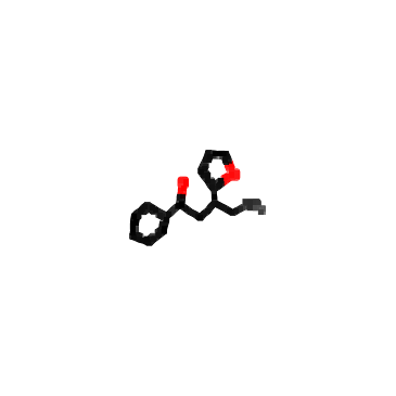 O=C(CC(C[N+](=O)[O-])c1ccco1)c1ccccc1